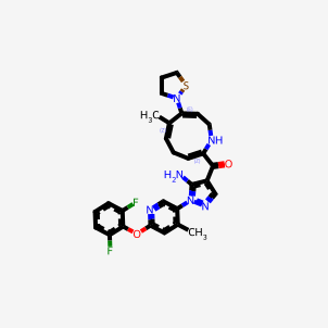 CC1=C/C/C=C(/C(=O)c2cnn(-c3cnc(Oc4c(F)cccc4F)cc3C)c2N)NC/C=C\1N1CCCS1